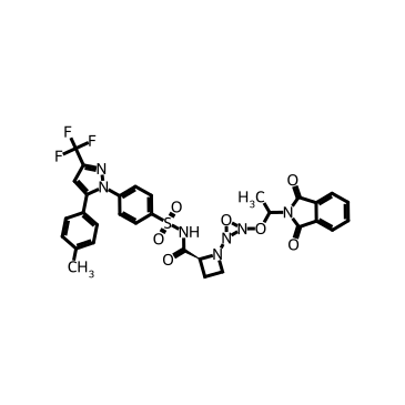 Cc1ccc(-c2cc(C(F)(F)F)nn2-c2ccc(S(=O)(=O)NC(=O)[C@@H]3CCN3n3on3OC(C)N3C(=O)c4ccccc4C3=O)cc2)cc1